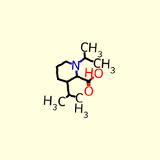 CC(C)C1CCCN(C(C)C)C1C(=O)O